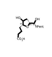 CCCCC[C@@H](O)[C@H]1CC(O)[C@@H](CCCC(=O)O)O1